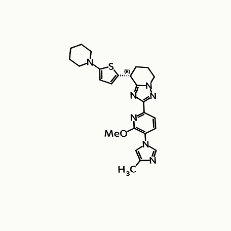 COc1nc(-c2nc3n(n2)CCC[C@H]3c2ccc(N3CCCCC3)s2)ccc1-n1cnc(C)c1